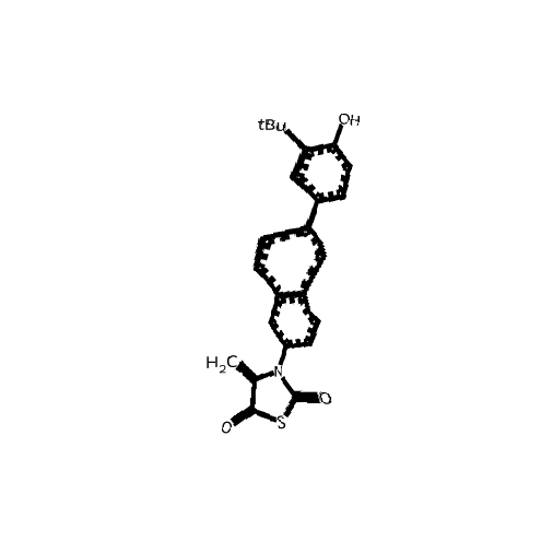 C=C1C(=O)SC(=O)N1c1ccc2cc(-c3ccc(O)c(C(C)(C)C)c3)ccc2c1